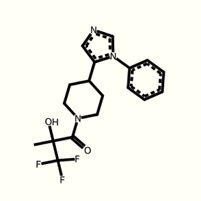 CC(O)(C(=O)N1CCC(c2cncn2-c2ccccc2)CC1)C(F)(F)F